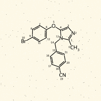 Cc1ncc(Oc2ccc(Br)cc2)n1Cc1ccc(C#N)cc1